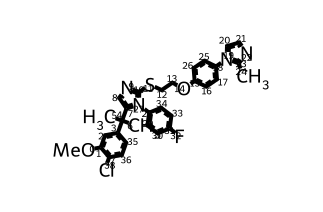 COc1cc(C(C)(C)c2cnc(SCCOc3ccc(-n4ccnc4C)cc3)n2-c2ccc(F)cc2)ccc1Cl